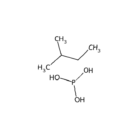 CCC(C)C.OP(O)O